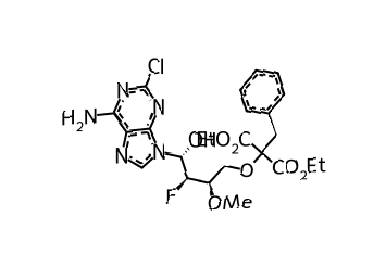 CCOC(=O)C(Cc1ccccc1)(OC[C@@H](OC)[C@@H](F)[C@@H](O)n1cnc2c(N)nc(Cl)nc21)C(=O)OCC